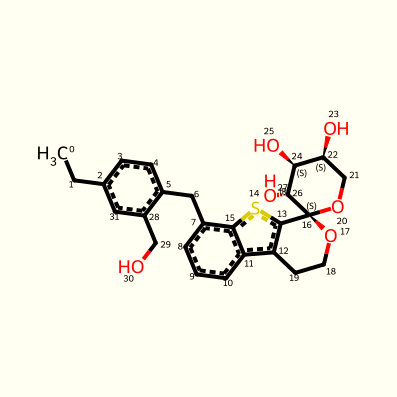 CCc1ccc(Cc2cccc3c4c(sc23)[C@@]2(OCC4)OC[C@H](O)[C@H](O)[C@H]2O)c(CO)c1